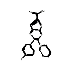 O=C(O)c1cc2nc(-c3ccc(F)cc3)c(N3CCCCC3)nc2s1